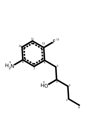 CCCC(O)Cc1cc(N)ccc1F